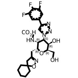 O=C(O)N[C@@H]1[C@H](n2cc(-c3cc(F)c(F)c(F)c3)nn2)[C@@H](O)[C@@H](CO)O[C@@H]1CC1=NOC2(CCCCC2)C1